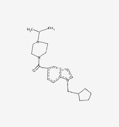 CC(C)N1CCN(C(=O)c2ccc3c(ccn3CC3CCCC3)c2)CC1